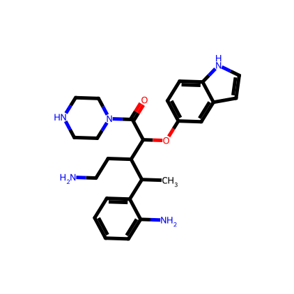 CC(c1ccccc1N)C(CCN)C(Oc1ccc2[nH]ccc2c1)C(=O)N1CCNCC1